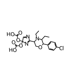 CCC1C(c2ccc(Cl)cc2)OCC(C2=NC(OC(=O)O)(OC(=O)O)C=N2)N1CC